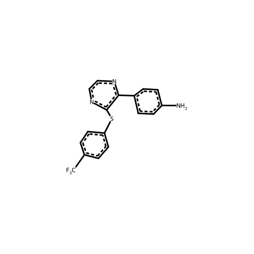 Nc1ccc(-c2nccnc2Sc2ccc(C(F)(F)F)cc2)cc1